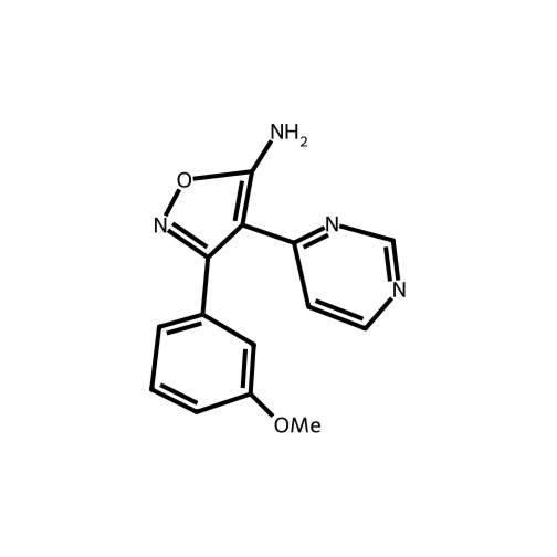 COc1cccc(-c2noc(N)c2-c2ccncn2)c1